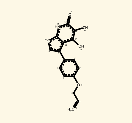 C=CCOc1ccc(-c2csc3[nH]c(=O)c(C#N)c(O)c23)cc1